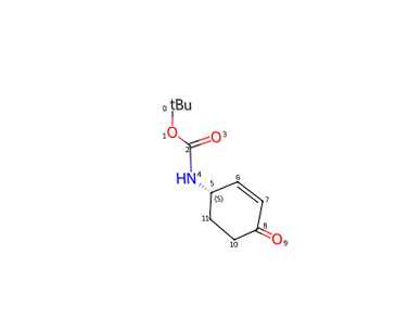 CC(C)(C)OC(=O)N[C@@H]1C=CC(=O)CC1